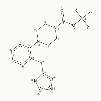 CC(C)(C)OC(=O)N1CCN(c2ccccc2Cc2c[nH]nn2)CC1